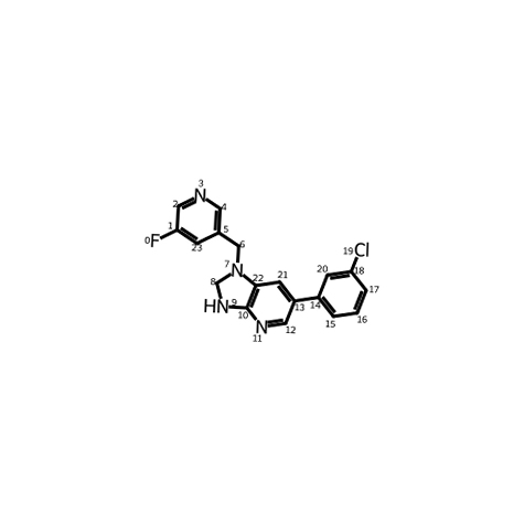 Fc1cncc(CN2CNc3ncc(-c4cccc(Cl)c4)cc32)c1